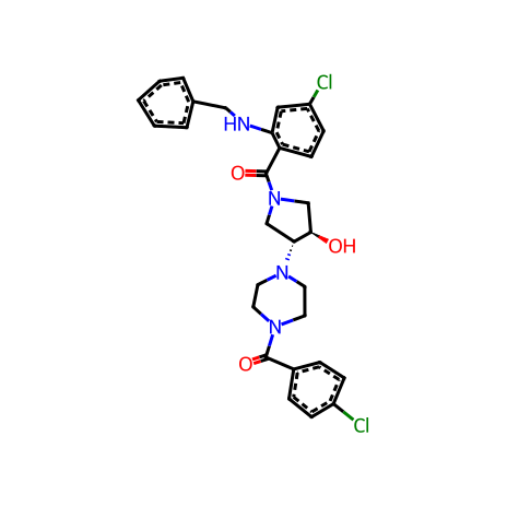 O=C(c1ccc(Cl)cc1)N1CCN([C@@H]2CN(C(=O)c3ccc(Cl)cc3NCc3ccccc3)C[C@H]2O)CC1